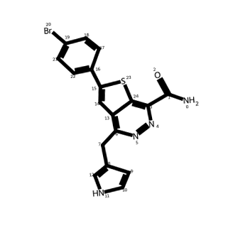 NC(=O)c1nnc(Cc2cc[nH]c2)c2cc(-c3ccc(Br)cc3)sc12